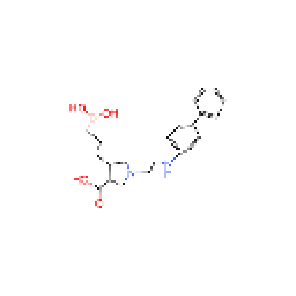 O=C(O)C1CN(CCNc2ccc(-c3ccccc3)cc2)CC1CCCB(O)O